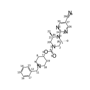 C[C@@H]1CN(C(=O)OC2CCN(Cc3ccccc3)CC2)C[C@@H](C)N1c1ncc(C#N)cn1